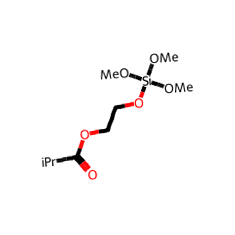 CO[Si](OC)(OC)OCCOC(=O)C(C)C